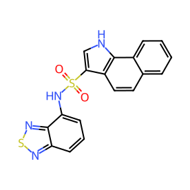 O=S(=O)(Nc1cccc2nsnc12)c1c[nH]c2c1ccc1ccccc12